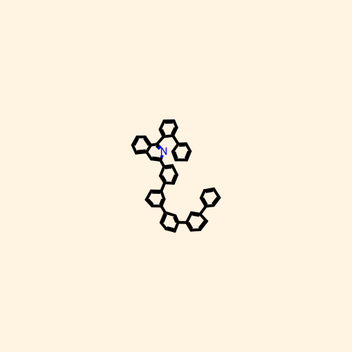 c1ccc(-c2cccc(-c3cccc(-c4cccc(-c5cccc(-c6cc7ccccc7c(-c7ccccc7-c7ccccc7)n6)c5)c4)c3)c2)cc1